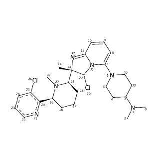 CN(C)C1CCN(C2=CC=CC3=N[C@@](C)([C@H]4CCC[C@@H](c5ncccc5Cl)N4C)C(Cl)N23)CC1